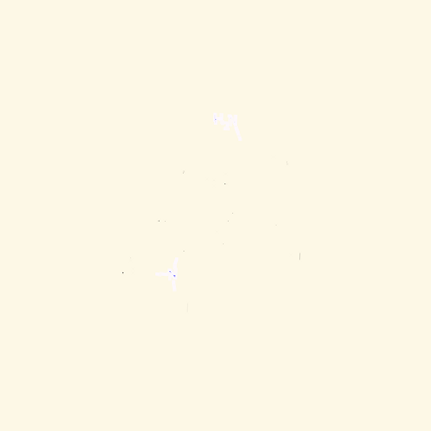 CCc1cc(N(C)C)ccc1C(N)=S